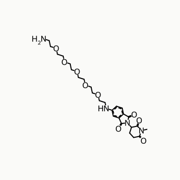 CN1C(=O)CCC(N2C(=O)c3ccc(NCCOCCOCCOCCOCCOCCN)cc3C2=O)C1=O